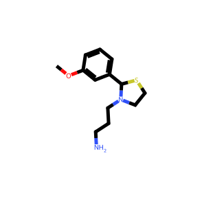 COc1cccc(C2SCCN2CCCN)c1